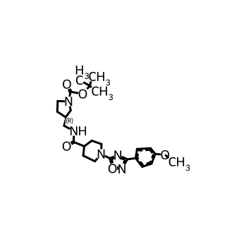 COc1ccc(-c2noc(N3CCC(C(=O)NC[C@H]4CCN(C(=O)OC(C)(C)C)C4)CC3)n2)cc1